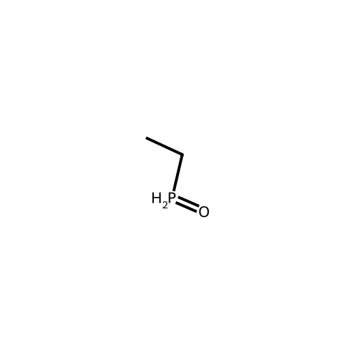 CC[PH2]=O